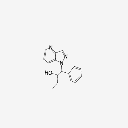 CCC(O)C(c1ccccc1)n1ncc2ncccc21